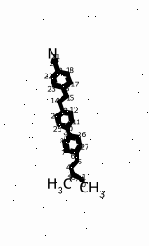 CC[C@H](C)CCc1ccc(-c2ccc(CCc3ccc(C#N)cc3)cc2)cc1